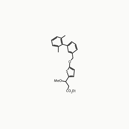 CCOC(=O)CC(OC)c1ccc(OCc2cccc(-c3c(C)cccc3C)c2)s1